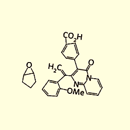 C1CC2OC2C1.C=C(c1ccccc1OC)c1nc2ccccn2c(=O)c1-c1ccc(C(=O)O)cc1